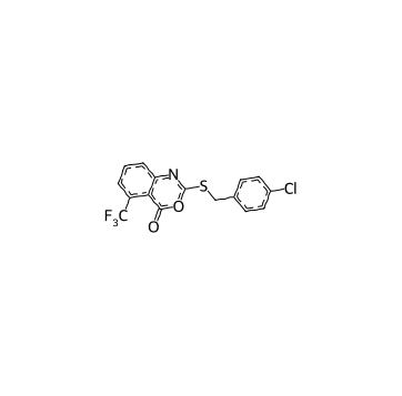 O=c1oc(SCc2ccc(Cl)cc2)nc2cccc(C(F)(F)F)c12